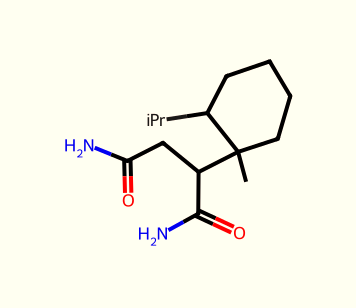 CC(C)C1CCCCC1(C)C(CC(N)=O)C(N)=O